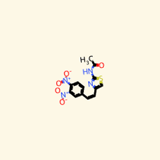 CC(=O)Nc1nc(/C=C\c2ccc([N+](=O)[O-])c([N+](=O)[O-])c2)cs1